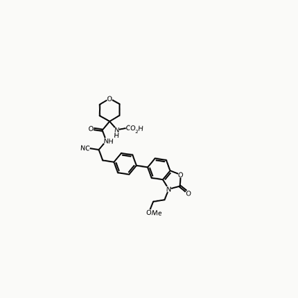 COCCn1c(=O)oc2ccc(-c3ccc(CC(C#N)NC(=O)C4(NC(=O)O)CCOCC4)cc3)cc21